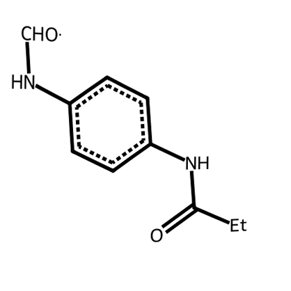 CCC(=O)Nc1ccc(N[C]=O)cc1